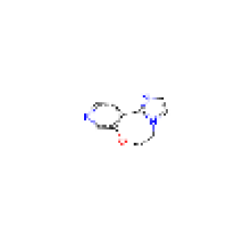 c1cc2c(cn1)OCCn1ccnc1-2